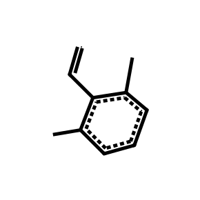 [CH]=Cc1c(C)cccc1C